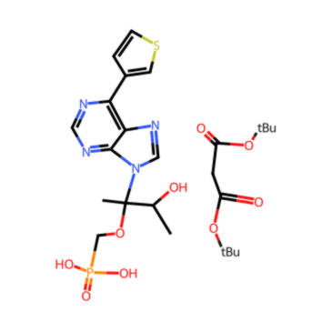 CC(C)(C)OC(=O)CC(=O)OC(C)(C)C.CC(O)C(C)(OCP(=O)(O)O)n1cnc2c(-c3ccsc3)ncnc21